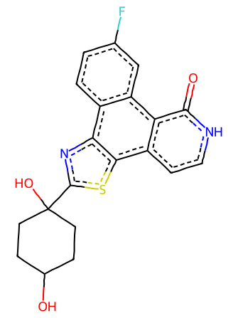 O=c1[nH]ccc2c3sc(C4(O)CCC(O)CC4)nc3c3ccc(F)cc3c12